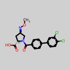 CON=C1C[C@@H](C(=O)O)N(C(=O)c2ccc(-c3ccc(Cl)c(Cl)c3)cc2)C1